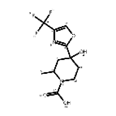 CC1CC(O)(c2nc(C(F)(F)F)co2)CCN1C(=O)O